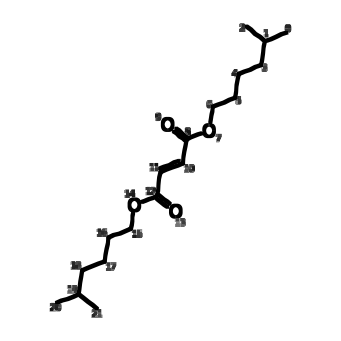 CC(C)CCCCOC(=O)C=CC(=O)OCCCCC(C)C